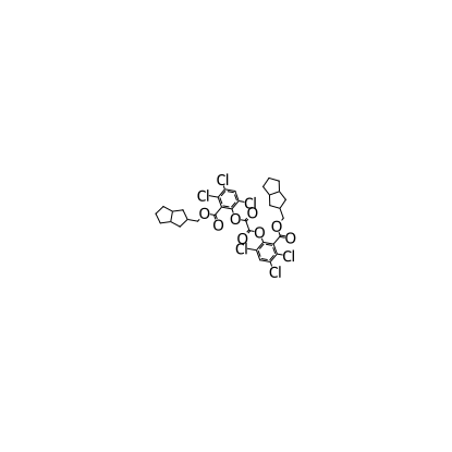 O=C(Oc1c(Cl)cc(Cl)c(Cl)c1C(=O)OCC1CC2CCCC2C1)C(=O)Oc1c(Cl)cc(Cl)c(Cl)c1C(=O)OCC1CC2CCCC2C1